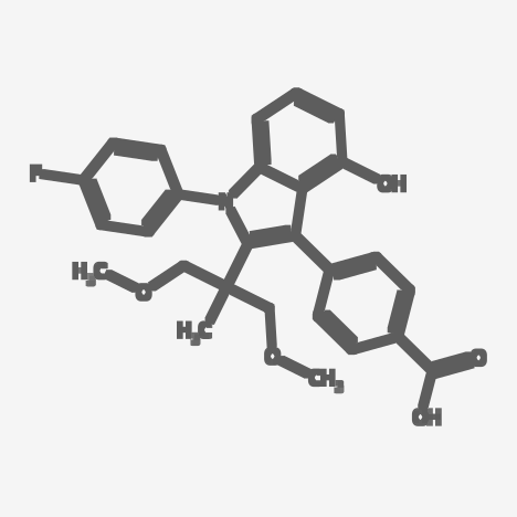 COCC(C)(COC)c1c(-c2ccc(C(=O)O)cc2)c2c(O)cccc2n1-c1ccc(F)cc1